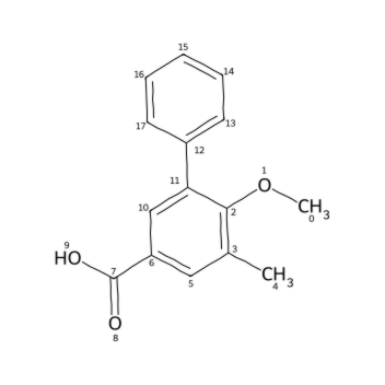 COc1c(C)cc(C(=O)O)cc1-c1ccccc1